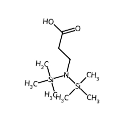 C[Si](C)(C)N(CCC(=O)O)[Si](C)(C)C